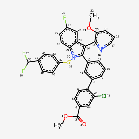 COC(=O)c1ccc(-c2cccc(-c3c(-c4ncccc4OC)c4cc(F)ccc4n3Sc3ccc(C(F)F)cc3)c2)c(Cl)c1